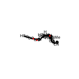 C#CCOCCOCCOCCOCCN1CCN(CCCNC(=O)[C@H](CO)NC(=O)c2ncn(-c3ncc(OC)c4c(C(=O)C(=O)N5CCC(=C(C#N)c6ccccc6)CC5)c[nH]c34)n2)CC1